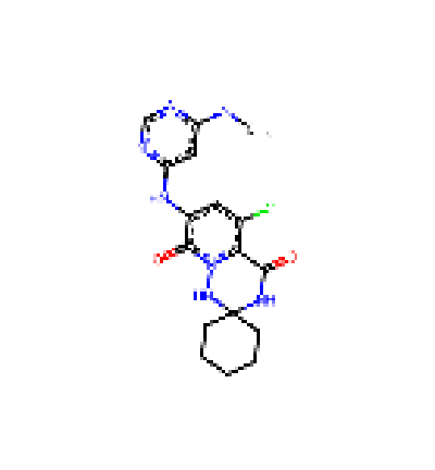 CNc1cc(Nc2cc(Cl)c3n(c2=O)NC2(CCCCC2)NC3=O)ncn1